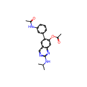 CC(=O)Nc1cccc(-c2cc3cnc(NC(C)C)nc3cc2OC(C)=O)c1